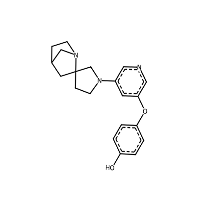 Oc1ccc(Oc2cncc(N3CCC4(CC5CCN4C5)C3)c2)cc1